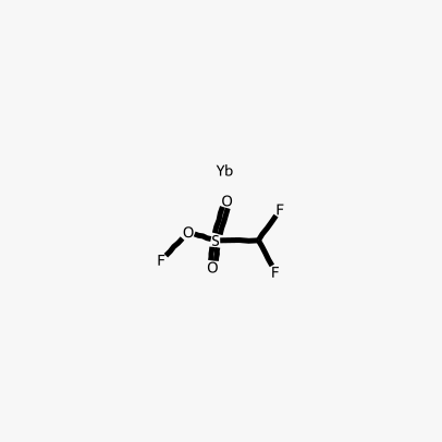 O=S(=O)(OF)C(F)F.[Yb]